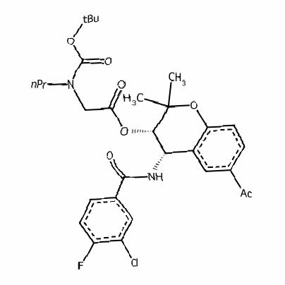 CCCN(CC(=O)O[C@H]1[C@@H](NC(=O)c2ccc(F)c(Cl)c2)c2cc(C(C)=O)ccc2OC1(C)C)C(=O)OC(C)(C)C